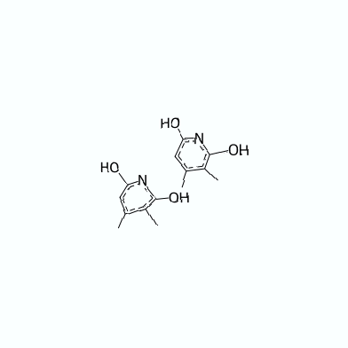 Cc1cc(O)nc(O)c1C.Cc1cc(O)nc(O)c1C